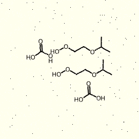 CC(C)OCCOO.CC(C)OCCOO.O=C(O)O.O=C(O)O